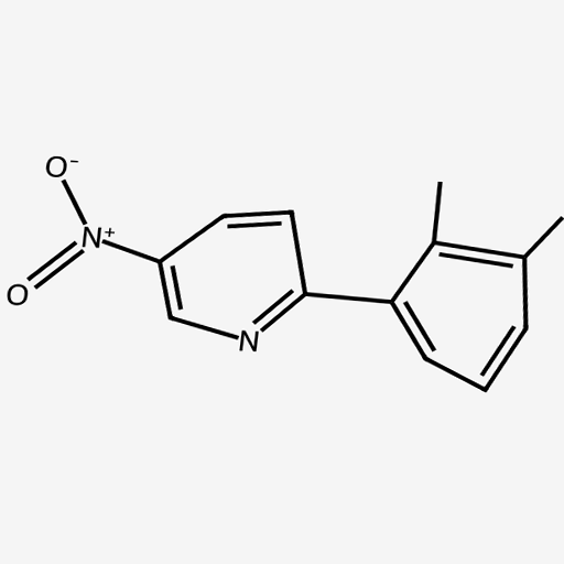 Cc1cccc(-c2ccc([N+](=O)[O-])cn2)c1C